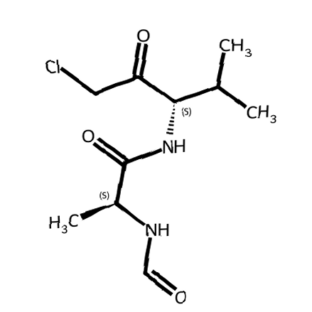 CC(C)[C@H](NC(=O)[C@H](C)NC=O)C(=O)CCl